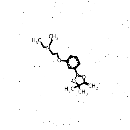 C=C1OB(c2cccc(OCCN(CC)CC)c2)OC1(C)C